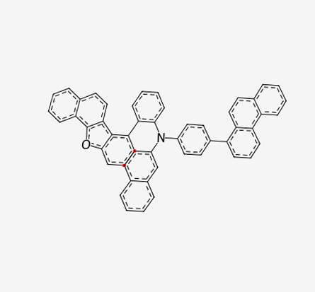 c1ccc(N(c2ccc(-c3cccc4c3ccc3ccccc34)cc2)c2ccc3ccccc3c2)c(-c2cccc3oc4c5ccccc5ccc4c23)c1